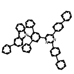 c1ccc(-c2ccc(-c3cc(-c4cc(-c5ccccc5)c(-n5c6ccccc6c6cc(-c7ccccc7)ccc65)c(-c5ccccc5)c4)nc(-c4ccc(-c5ccccc5)cc4)n3)cc2)cc1